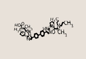 CCCN(CCC)[C@H](C)C(=O)N1CCC[C@H]1c1ncc(-c2ccc(-c3ccc(-c4cnc([C@@H]5CCCN5C(=O)[C@H](C)N(C)C(=O)O)[nH]4)cc3)cc2)[nH]1